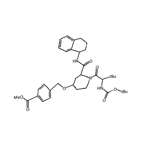 COC(=O)c1ccc(COC2CCN(C(=O)C(NC(=O)OC(C)(C)C)C(C)(C)C)C(C(=O)NC3CCCc4ccccc43)C2)cc1